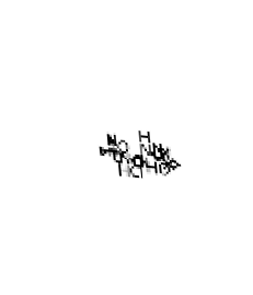 Cl.Cn1nc(Nc2cc(N3CC[C@@](C#N)(C4CC4)C3=O)ccn2)cc1C1(O)CCC1